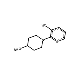 COC1CCN(c2ncccc2C#N)CC1